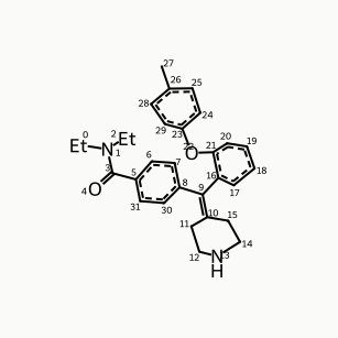 CCN(CC)C(=O)c1ccc(C(=C2CCNCC2)c2ccccc2Oc2ccc(C)cc2)cc1